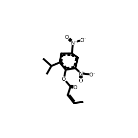 C/C=C\C(=O)Oc1c(C(C)C)cc([N+](=O)[O-])cc1[N+](=O)[O-]